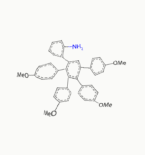 COc1ccc(-c2cc(-c3ccccc3N)c(-c3ccc(OC)cc3)c(-c3ccc(OC)cc3)c2-c2ccc(OC)cc2)cc1